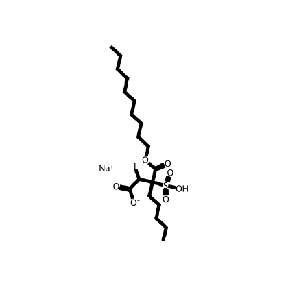 CCCCCCCCCCOC(=O)C(CCCCC)(C(I)C(=O)[O-])S(=O)(=O)O.[Na+]